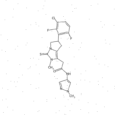 Cn1cc(NC(=O)Cc2c3n(c(=S)n2C)CC(c2c(F)ccc(Cl)c2F)C3)cn1